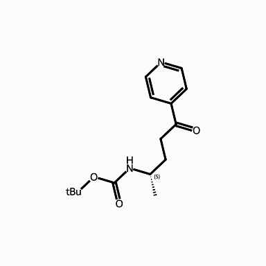 C[C@@H](CCC(=O)c1ccncc1)NC(=O)OC(C)(C)C